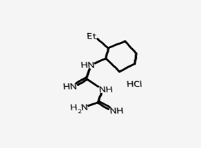 CCC1CCCCC1NC(=N)NC(=N)N.Cl